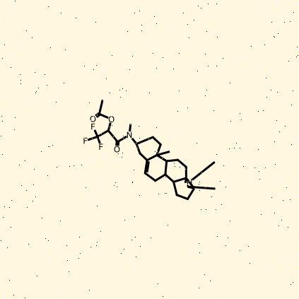 CC(=O)OC(C(=O)N(C)C1CCC2(C)C(=CCC3C2CCC24CN(C)C(C)C2CCC34)C1)C(F)(F)F